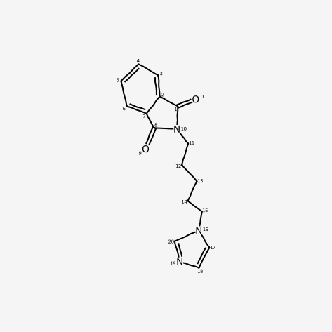 O=C1c2ccccc2C(=O)N1CCCCCn1ccnc1